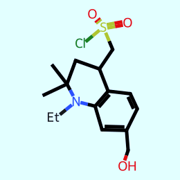 CCN1c2cc(CO)ccc2C(CS(=O)(=O)Cl)CC1(C)C